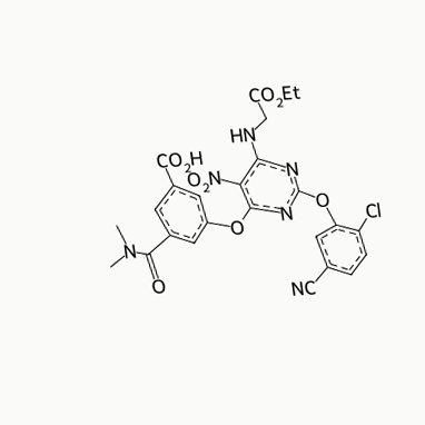 CCOC(=O)CNc1nc(Oc2cc(C#N)ccc2Cl)nc(Oc2cc(C(=O)O)cc(C(=O)N(C)C)c2)c1[N+](=O)[O-]